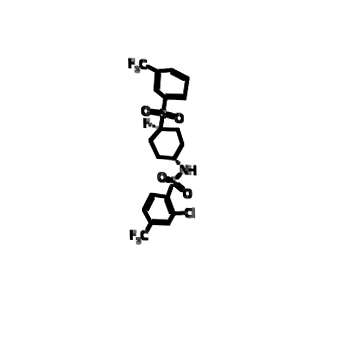 O=S(=O)(N[C@H]1CC[C@](F)(S(=O)(=O)c2cccc(C(F)(F)F)c2)CC1)c1ccc(C(F)(F)F)cc1Cl